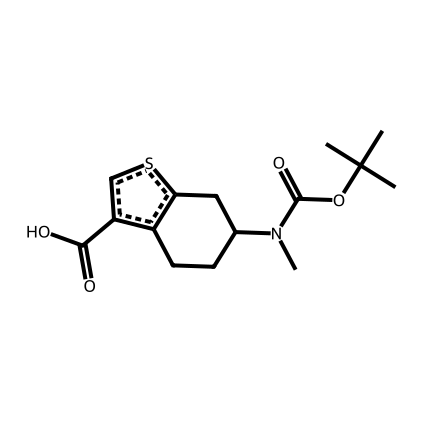 CN(C(=O)OC(C)(C)C)C1CCc2c(C(=O)O)csc2C1